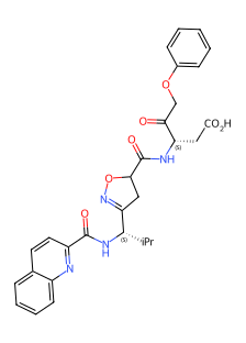 CC(C)[C@H](NC(=O)c1ccc2ccccc2n1)C1=NOC(C(=O)N[C@@H](CC(=O)O)C(=O)COc2ccccc2)C1